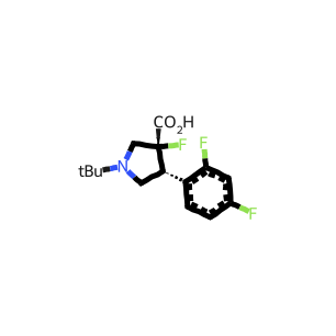 CC(C)(C)N1C[C@@H](c2ccc(F)cc2F)[C@](F)(C(=O)O)C1